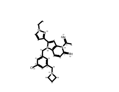 CCn1ccc(-c2cc3c(ccc(=N)n3C(C)=N)n2Cc2cc(Cl)cc(CN3CCC3)c2)n1